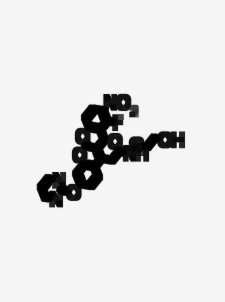 O=C(Cc1c(Cc2cccc([N+](=O)[O-])c2F)c(=O)oc2cc(Oc3ncccn3)ccc12)NOCCO